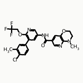 Cc1cc(-c2cc(NC(=O)c3cnc4c(c3)OCCN4C)cnc2OCC(F)(F)F)ccc1Cl